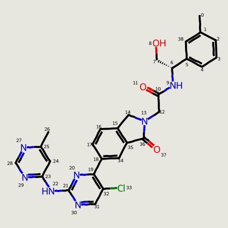 Cc1cccc([C@@H](CO)NC(=O)CN2Cc3ccc(-c4nc(Nc5cc(C)ncn5)ncc4Cl)cc3C2=O)c1